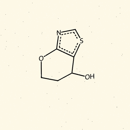 OC1CCOc2ncsc21